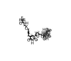 O=C(NCCOCC#CCc1cn([C@H]2CC[C@@H](COP(=O)(O)OP(=O)(O)OP(=O)(O)O)O2)c(=O)[nH]c1=O)C(F)(F)F